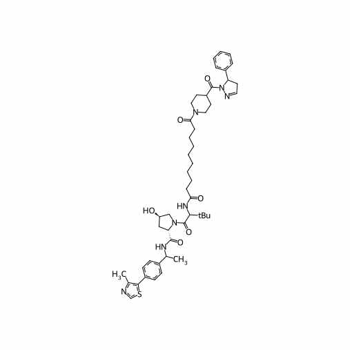 Cc1ncsc1-c1ccc(C(C)NC(=O)[C@@H]2C[C@@H](O)CN2C(=O)C(NC(=O)CCCCCCCCC(=O)N2CCC(C(=O)N3N=CCC3c3ccccc3)CC2)C(C)(C)C)cc1